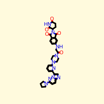 O=C1CCC(N2C(=O)c3ccc(NCC(=O)N4CCN(c5cccc(-c6cnc7ccc(N8CCCC8)nn67)n5)CC4)cc3C2=O)C(=O)N1